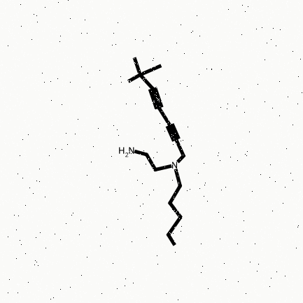 CCCCCN(CC#CC#CC(C)(C)C)CCN